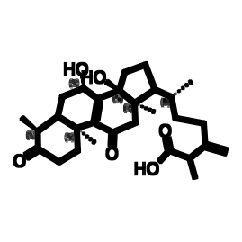 C=C(CC[C@@H](C)C1CC[C@@]2(O)C3=C(C(=O)C[C@]12C)[C@@]1(C)CCC(=O)[C@@H](C)C1C[C@@H]3O)C(C)C(=O)O